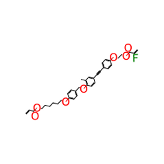 C=CC(=O)OCCCCCCOc1ccc(COc2ccc(C#Cc3ccc(OCCOC(=O)C(=C)F)cc3)cc2C)cc1